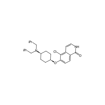 CC(C)CN(CC(C)C)[C@H]1CC[C@@H](Oc2ccc3c(=O)[nH]ccc3c2Cl)CC1